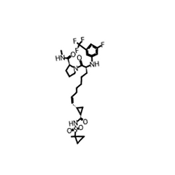 CNC(=O)[C@@H]1CCCN1C(=O)[C@H](CCCCC/C=C\[C@@H]1C[C@@H]1C(=O)NS(=O)(=O)C1(C)CC1)Nc1cc(F)cc(C(F)(F)F)c1